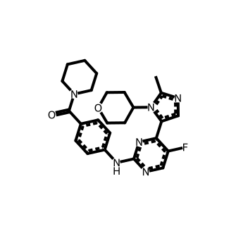 Cc1ncc(-c2nc(Nc3ccc(C(=O)N4CCCCC4)cc3)ncc2F)n1C1CCOCC1